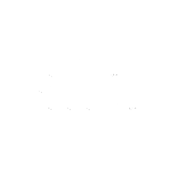 COc1cc(NC(=O)Nc2cc(Nc3ccc(C(C)(C)C)cc3)ncn2)cc(OC)c1